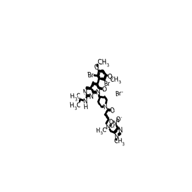 COc1cc(OC)c(Br)c(-c2cc3cnc(NC(C)C)nc3n(C3CCN(C(=O)/C=C/C[N+](C)(C)Cc4c([N+](=O)[O-])ncn4C)CC3)c2=O)c1Br.[Br-]